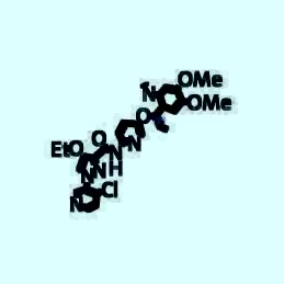 C=NC1C=C(OC)C(OC)=CC1/C(=C\C)Oc1ccc(NC(=O)c2nn(-c3cnccc3Cl)cc2OCC)nc1